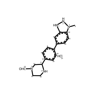 CN1NNc2cc(-c3ccc(C4CN(C=O)CCN4)cc3)ccc21.Cl